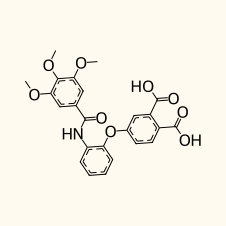 COc1cc(C(=O)Nc2ccccc2Oc2ccc(C(=O)O)c(C(=O)O)c2)cc(OC)c1OC